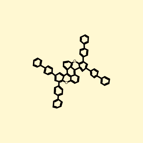 c1ccc(-c2ccc(-c3cc(-c4ccc(-c5ccccc5)cc4)c4oc5cccc6c5c(c4c3)c3cccc4oc5c(-c7ccc(-c8ccccc8)cc7)cc(-c7ccc(-c8ccccc8)cc7)cc5c6c43)cc2)cc1